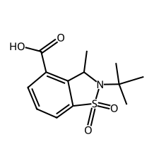 CC1c2c(C(=O)O)cccc2S(=O)(=O)N1C(C)(C)C